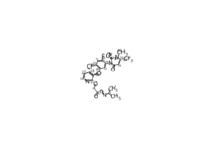 CC(C)=NOC(=O)COc1ncccc1Oc1cc(-n2c(=O)cc(C(F)(F)F)n(C)c2=O)c(F)cc1Cl